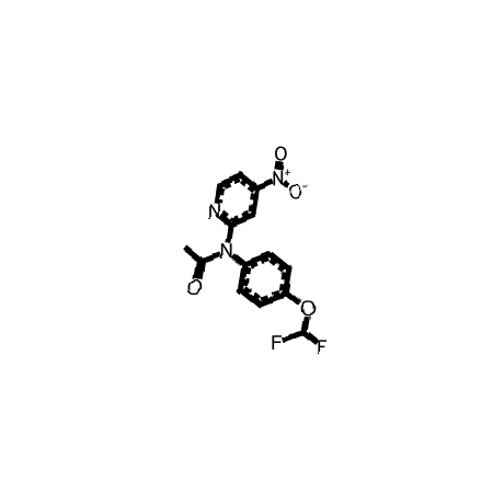 CC(=O)N(c1ccc(OC(F)F)cc1)c1cc([N+](=O)[O-])ccn1